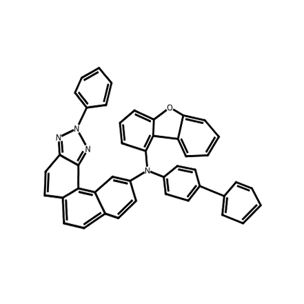 c1ccc(-c2ccc(N(c3ccc4ccc5ccc6nn(-c7ccccc7)nc6c5c4c3)c3cccc4oc5ccccc5c34)cc2)cc1